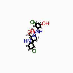 O=C(Nc1cc(O)cc(Cl)c1)N1CCc2c([nH]c3ccc(Cl)cc23)C1CO